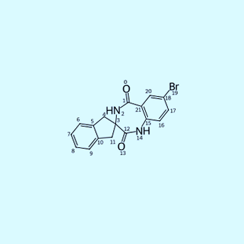 O=C1NC2(Cc3ccccc3C2)C(=O)Nc2ccc(Br)cc21